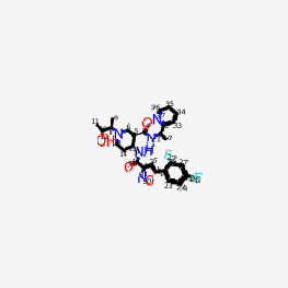 CC(NC(=O)[C@@H]1CN(C(C)C(C)O)CC[C@H]1NC(=O)c1cc(-c2ccc(F)cc2F)on1)c1ccccn1